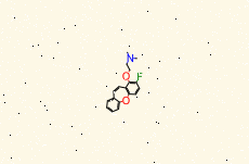 CN(C)CCOc1c(F)ccc2c1C=Cc1ccccc1O2